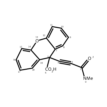 CNC(=O)C#CC1(C(=O)O)c2ccccc2Oc2ccccc21